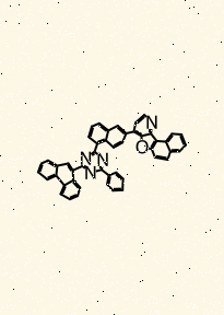 c1ccc(-c2nc(-c3cccc4cc(-c5ccnc6c5oc5ccc7ccccc7c56)ccc34)nc(-c3cc4ccccc4c4ccccc34)n2)cc1